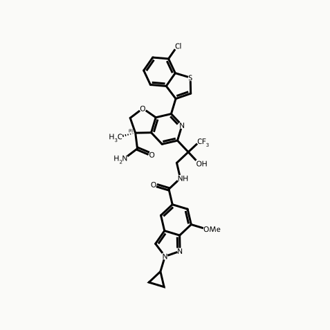 COc1cc(C(=O)NCC(O)(c2cc3c(c(-c4csc5c(Cl)cccc45)n2)OC[C@]3(C)C(N)=O)C(F)(F)F)cc2cn(C3CC3)nc12